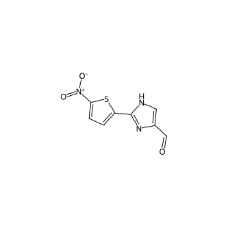 O=Cc1c[nH]c(-c2ccc([N+](=O)[O-])s2)n1